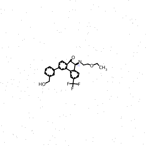 CCOCC/N=C1/C(=O)c2ccc(-c3cccc(CO)c3)cc2-c2cc(C(F)(F)F)ccc21